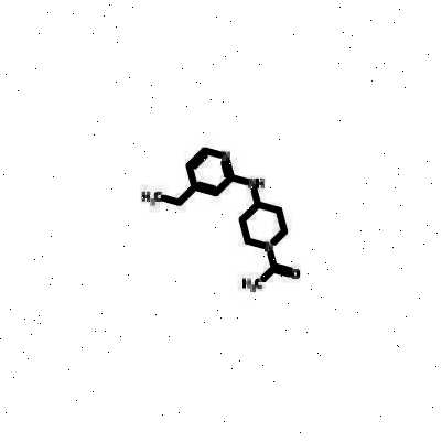 CCc1ccnc(NC2CCN(C(C)=O)CC2)c1